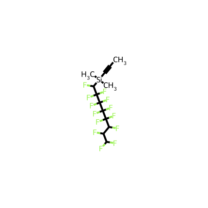 CC#C[Si](C)(C)C(F)C(F)(F)C(F)(F)C(F)(F)C(F)(F)C(F)C(F)C(F)F